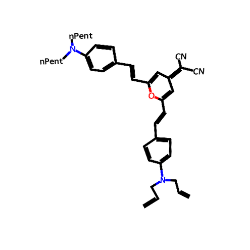 C=CCN(CC=C)c1ccc(/C=C/C2=CC(=C(C#N)C#N)C=C(/C=C/c3ccc(N(CCCCC)CCCCC)cc3)O2)cc1